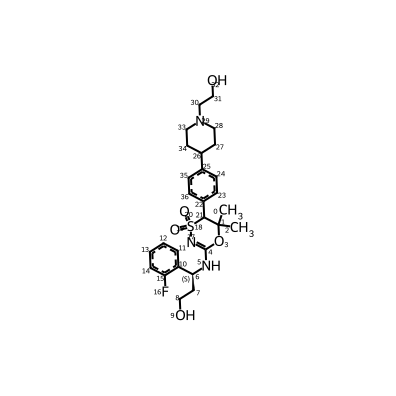 CC1(C)OC(N[C@@H](CCO)c2ccccc2F)=NS(=O)(=O)C1c1ccc(C2CCN(CCO)CC2)cc1